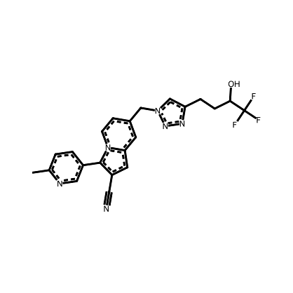 Cc1ccc(-c2c(C#N)cc3cc(Cn4cc(CCC(O)C(F)(F)F)nn4)ccn23)cn1